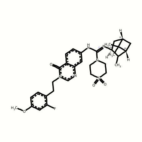 COc1ccc(CCn2cnc3cc(N/C(=N/[C@H]4C[C@@H]5C[C@H](C4C)C5(C)C)N4CCS(=O)(=O)CC4)ccc3c2=O)c(F)c1